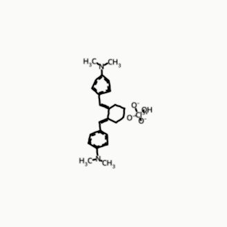 CN(C)c1ccc(C=C2CCCCC2=Cc2ccc(N(C)C)cc2)cc1.[O-][Cl+3]([O-])([O-])O